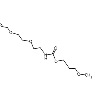 COCCCOC(=O)NCCOCCOCC=O